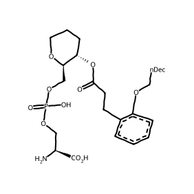 CCCCCCCCCCCOc1ccccc1CCC(=O)O[C@H]1CCCO[C@@H]1COP(=O)(O)OC[C@H](N)C(=O)O